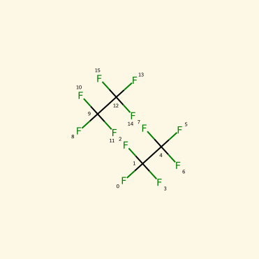 FC(F)(F)C(F)(F)F.FC(F)(F)C(F)(F)F